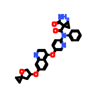 NC(=O)C1(C(=O)N(c2ccccc2)c2ccc(Oc3ccnc4cc(OC5COC6(CC6)C5)ccc34)cn2)CC1